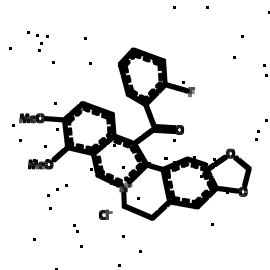 COc1ccc2c(C(=O)c3ccccc3F)c3[n+](cc2c1OC)CCc1cc2c(cc1-3)OCO2.[Cl-]